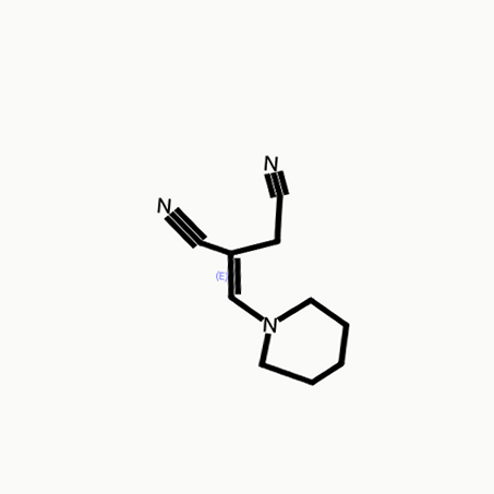 N#CC/C(C#N)=C\N1CCCCC1